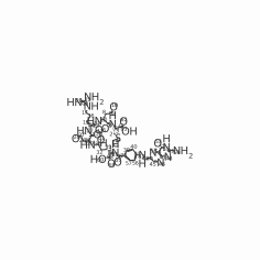 CSC[C@H](NC(=O)[C@H](CC=O)NC(=O)[C@H](CCCNC(=N)N)NC(=O)[C@H](CC=O)NC(=O)CC[C@H](NC(=O)c1ccc(NCc2cnc3nc(N)[nH]c(=O)c3n2)cc1)C(=O)O)C(=O)O